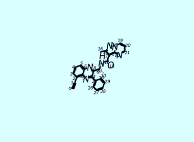 C#Cc1cccc2nc([C@@H](C)NC(=O)c3c(C)nn4cccnc34)c(-c3ccccc3)nc12